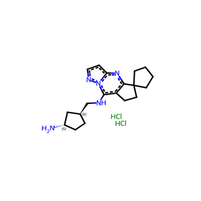 Cl.Cl.N[C@H]1CC[C@H](CNc2c3c(nc4ccnn24)C2(CCCC2)CC3)C1